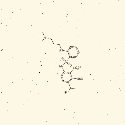 COc1c(C(C)C(C)C)ccc(NS(=O)(=O)c2ccccc2NCCCN(C)C)c1C(=O)O